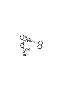 Cc1ccc([C@@H]2C[C@H](CNCCc3cccc4ccccc34)Oc3ccccc32)cc1C(=O)O.Cl